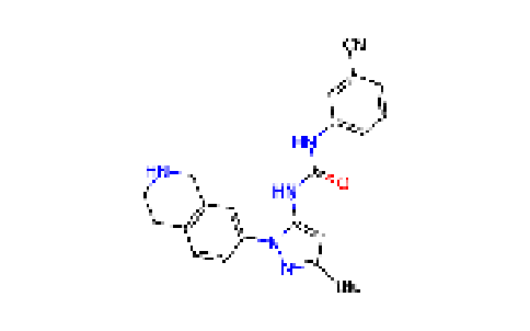 CC(C)(C)c1cc(NC(=O)Nc2cccc(C#N)c2)n(-c2ccc3c(c2)CNCC3)n1